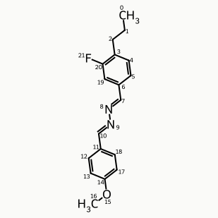 CCCc1ccc(/C=N/N=C/c2ccc(OC)cc2)cc1F